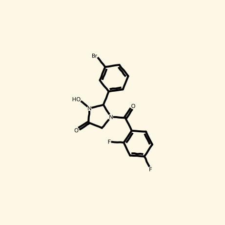 O=C1CN(C(=O)c2ccc(F)cc2F)C(c2cccc(Br)c2)N1O